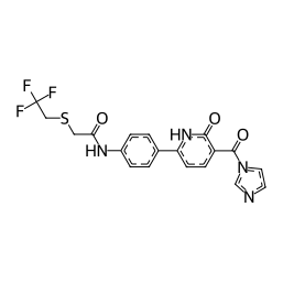 O=C(CSCC(F)(F)F)Nc1ccc(-c2ccc(C(=O)n3ccnc3)c(=O)[nH]2)cc1